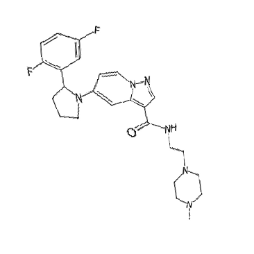 CN1CCN(CCNC(=O)c2cnn3ccc(N4CCCC4c4cc(F)ccc4F)cc23)CC1